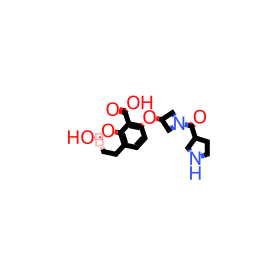 O=C(O)c1c(OC2CN(C(=O)C3CCNC3)C2)ccc2c1OB(O)CC2